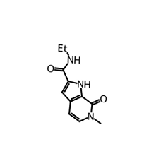 CCNC(=O)c1cc2ccn(C)c(=O)c2[nH]1